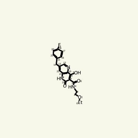 CCOCCNC(=O)c1c(O)c2ncc(Cc3ccc(F)cc3)cc2[nH]c1=O